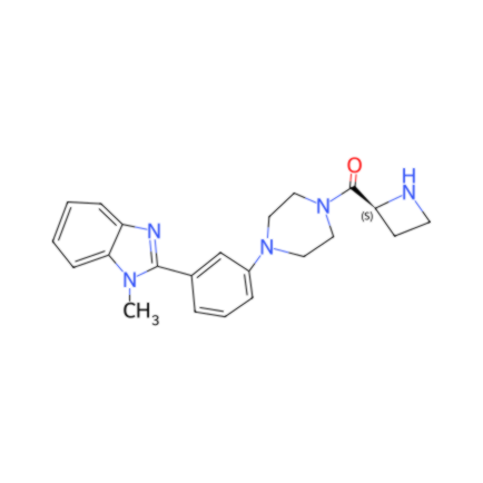 Cn1c(-c2cccc(N3CCN(C(=O)[C@@H]4CCN4)CC3)c2)nc2ccccc21